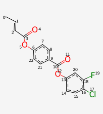 C/C=C/C(=O)Oc1ccc(C(=O)Oc2ccc(Cl)c(F)c2)cc1